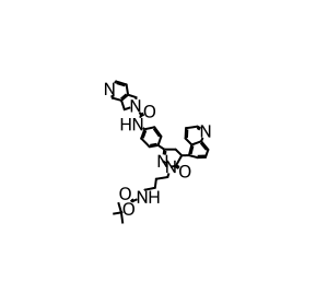 CC(C)(C)OC(=O)NCCCCN1N=C(c2ccc(NC(=O)N3Cc4ccncc4C3)cc2)CC(c2cccc3ncccc23)C1=O